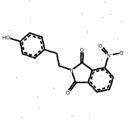 O=C1c2cccc([N+](=O)[O-])c2C(=O)N1CCc1ccc(O)cc1